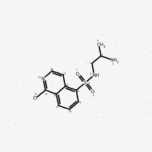 CC(N)CNS(=O)(=O)c1cccc2c(Cl)nccc12